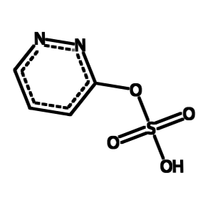 O=S(=O)(O)Oc1cccnn1